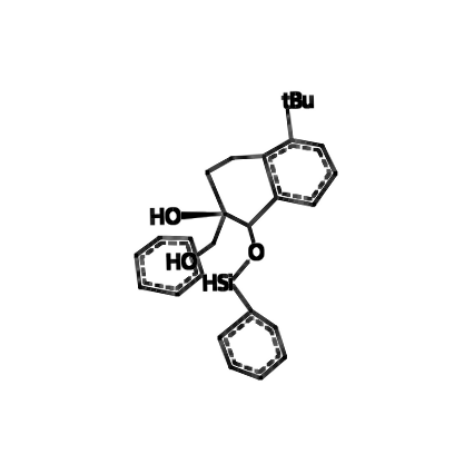 CC(C)(C)c1cccc2c1CC[C@@](O)(CO)C2O[SiH](c1ccccc1)c1ccccc1